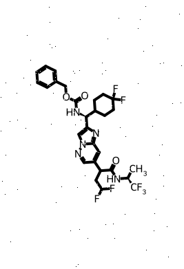 C[C@H](NC(=O)C(CC(F)F)c1cnn2cc([C@@H](NC(=O)OCc3ccccc3)C3CCC(F)(F)CC3)nc2c1)C(F)(F)F